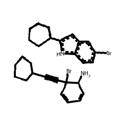 Brc1ccc2[nH]c(C3CCCCC3)cc2c1.NC1C=CC=CC1(Br)C#CC1CCCCC1